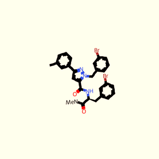 CNC(=O)[C@H](Cc1cccc(Br)c1)NC(=O)c1cc(-c2cccc(C)c2)nn1Cc1cccc(Br)c1